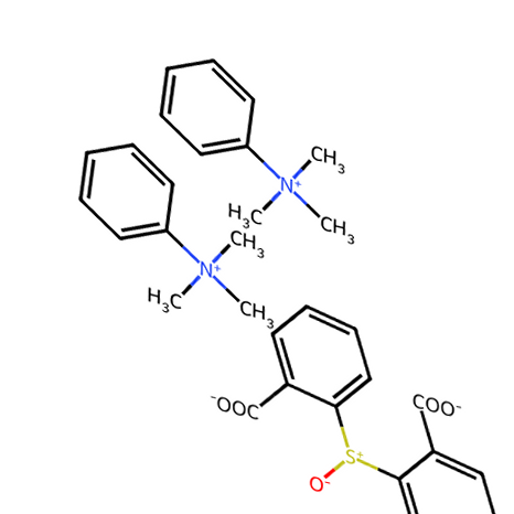 C[N+](C)(C)c1ccccc1.C[N+](C)(C)c1ccccc1.O=C([O-])c1ccccc1[S+]([O-])c1ccccc1C(=O)[O-]